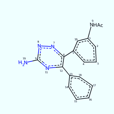 CC(=O)Nc1cccc(-c2nnc(N)nc2-c2ccccc2)c1